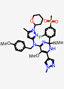 CNC1(c2ccc(S(C)(=O)=O)cc2F)N=C(N(Cc2ccc(OC)cc2)c2cc(C)n(C3CCCCO3)n2)C(OC)=C(c2cnn(C)c2)N1